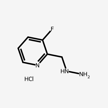 Cl.NNCc1ncccc1F